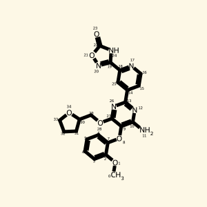 COc1ccccc1Oc1c(N)nc(-c2ccnc(-c3noc(=O)[nH]3)c2)nc1OCC1CCCO1